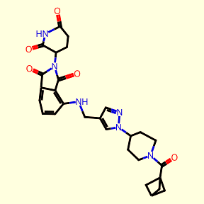 O=C1CCC(N2C(=O)c3cccc(NCc4cnn(C5CCN(C(=O)C67CC(C6)C7)CC5)c4)c3C2=O)C(=O)N1